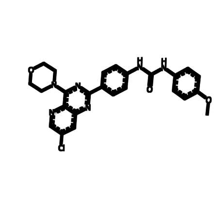 COc1ccc(NC(=O)Nc2ccc(-c3nc(N4CCOCC4)c4ncc(Cl)cc4n3)cc2)cc1